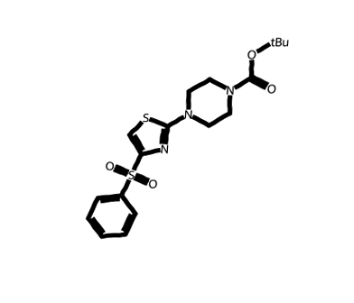 CC(C)(C)OC(=O)N1CCN(c2nc(S(=O)(=O)c3ccccc3)cs2)CC1